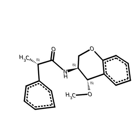 CO[C@H]1c2ccccc2OC[C@@H]1NC(=O)[C@@H](C)c1ccccc1